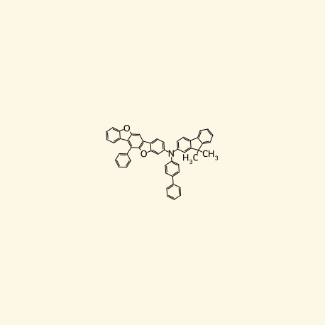 CC1(C)c2ccccc2-c2ccc(N(c3ccc(-c4ccccc4)cc3)c3ccc4c(c3)oc3c(-c5ccccc5)c5c(cc34)oc3ccccc35)cc21